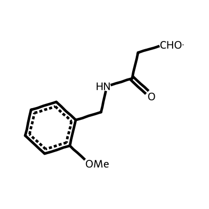 COc1ccccc1CNC(=O)C[C]=O